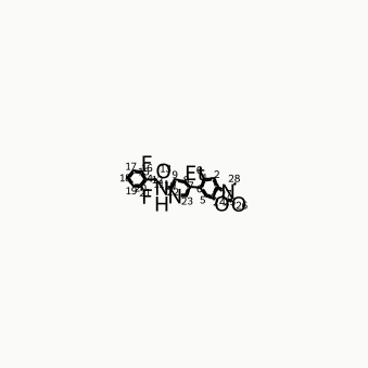 CCc1cc2c(cc1-c1ccc(NC(=O)c3c(F)cccc3F)nc1)oc(=O)n2C